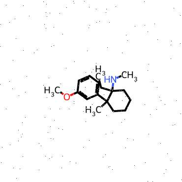 CCC1(NC)CCCCC1(C)c1cccc(OC)c1